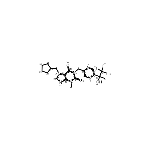 Cn1c(=O)n(Cc2cnc(C(C)(O)C(F)(F)F)cn2)c(=O)c2c1ncn2CC1CCCC1